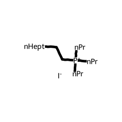 CCCCCCCCC[P+](CCC)(CCC)CCC.[I-]